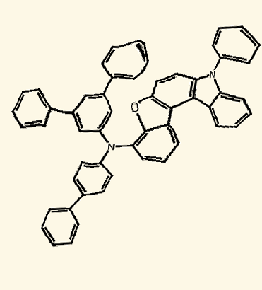 c1ccc(-c2ccc(N(c3cc(-c4ccccc4)cc(-c4ccccc4)c3)c3cccc4c3oc3ccc5c(c6ccccc6n5-c5ccccc5)c34)cc2)cc1